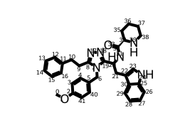 COc1ccc(Cn2c(CCc3ccccc3)nnc2C(Cc2c[nH]c3ccccc23)NC(=O)[C@H]2CCCCN2)cc1